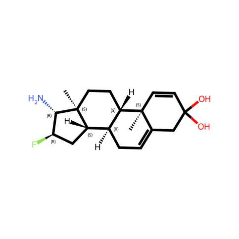 C[C@]12CC[C@H]3[C@@H](CC=C4CC(O)(O)C=C[C@@]43C)[C@@H]1C[C@@H](F)[C@@H]2N